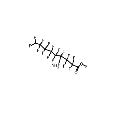 N.O=C(OF)C(F)(F)C(F)(F)C(F)(F)C(F)(F)C(F)(F)C(F)(F)C(F)(F)C(F)F